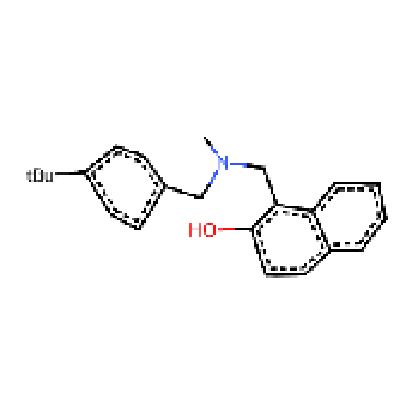 CN(Cc1ccc(C(C)(C)C)cc1)Cc1c(O)ccc2ccccc12